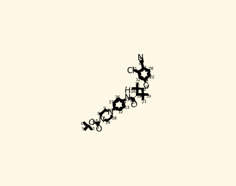 CC(C)(C)OC(=O)N1CCN(c2ccc(NC(=O)[C@H]3C(C)(C)[C@H](Oc4ccc(C#N)c(Cl)c4)C3(C)C)cc2)CC1